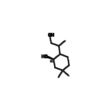 CC(CO)C1CCC(C)(C)C[C@H]1O